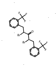 O=C(C(Br)Cc1ccccc1C(F)(F)F)C(Br)Cc1ccccc1C(F)(F)F